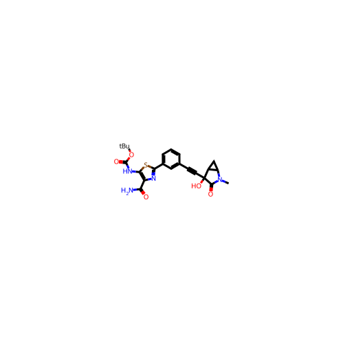 CN1C(=O)C(O)(C#Cc2cccc(-c3nc(C(N)=O)c(NC(=O)OC(C)(C)C)s3)c2)C2CC21